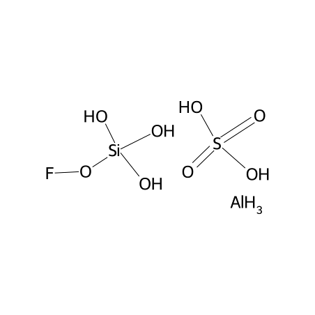 O=S(=O)(O)O.O[Si](O)(O)OF.[AlH3]